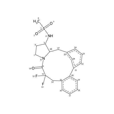 CS(=O)(=O)NC1CCN2C(=O)C(F)(F)Cc3ccccc3-c3cccc(c3)CC12